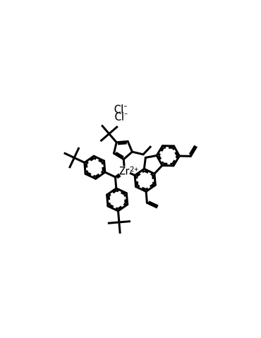 C=Cc1ccc2c(c1)-c1cc(C=C)c[c]([Zr+2]([C]3=CC(C(C)(C)C)=CC3CC)=[C](c3ccc(C(C)(C)C)cc3)c3ccc(C(C)(C)C)cc3)c1C2.[Cl-].[Cl-]